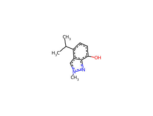 CC(C)c1ccc(O)c2nn(C)cc12